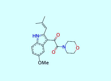 COc1ccc2[nH]c(C=C(C)C)c(C(=O)C(=O)N3CCOCC3)c2c1